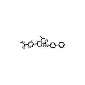 COC(=O)c1cnc(N2CCN(C(=O)Nc3ccc(-c4ccccc4)cc3)C(C(C)C)C2)cn1